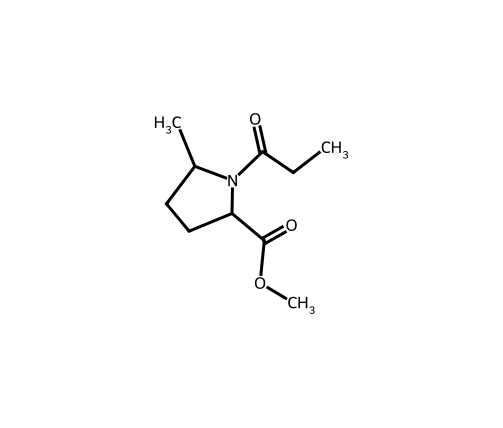 CCC(=O)N1C(C)CCC1C(=O)OC